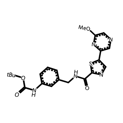 COc1cncc(-c2cnc(C(=O)NCc3cccc(NC(=O)OC(C)(C)C)c3)s2)n1